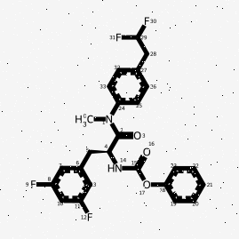 CN(C(=O)[C@H](Cc1cc(F)cc(F)c1)NC(=O)Oc1ccccc1)c1ccc(CC(F)F)cc1